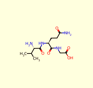 CC(C)[C@H](N)C(=O)N[C@@H](CCC(N)=O)C(=O)NCC(=O)O